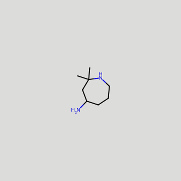 CC1(C)CC(N)CCCN1